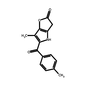 Cc1ccc(C(=O)c2[nH]c3c(c2C)OC(=O)C3)cc1